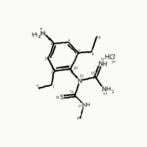 CCc1cc(N)cc(CC)c1N(C(=N)N)C(=S)NC.Cl